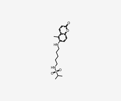 Cc1c(NCCCCCNS(=O)(=O)C(C)C)ccc2oc(=O)ccc12